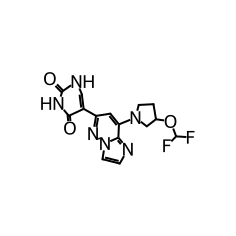 O=c1[nH]cc(-c2cc(N3CCC(OC(F)F)C3)c3nccn3n2)c(=O)[nH]1